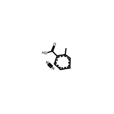 Cc1ccccc1C(=O)O.N#N